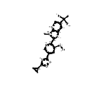 CCSc1cc(-c2noc(C3CC3)n2)cnc1-c1nc2cc(C(C)(F)F)cnc2n1C